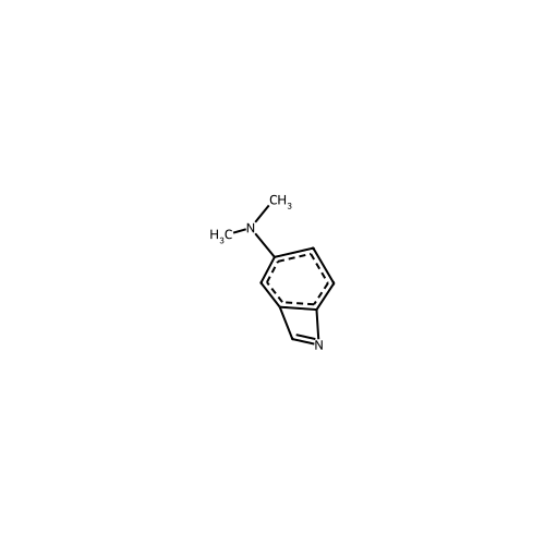 CN(C)c1ccc2c(c1)C=N2